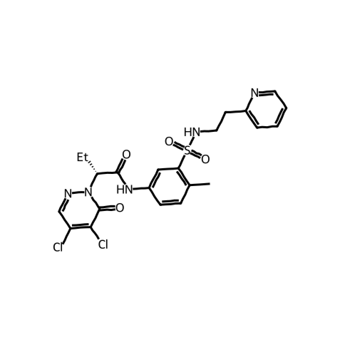 CC[C@H](C(=O)Nc1ccc(C)c(S(=O)(=O)NCCc2ccccn2)c1)n1ncc(Cl)c(Cl)c1=O